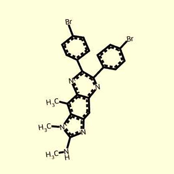 CNc1nc2cc3nc(-c4ccc(Br)cc4)c(-c4ccc(Br)cc4)nc3c(C)c2n1C